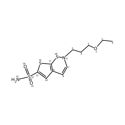 CCOCCCN1C=Cc2cc(S(N)(=O)=O)sc2S1